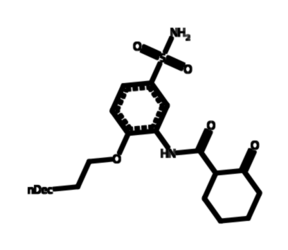 CCCCCCCCCCCCOc1ccc(S(N)(=O)=O)cc1NC(=O)C1CCCCC1=O